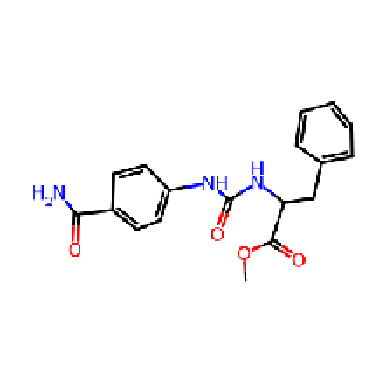 COC(=O)C(Cc1ccccc1)NC(=O)Nc1ccc(C(N)=O)cc1